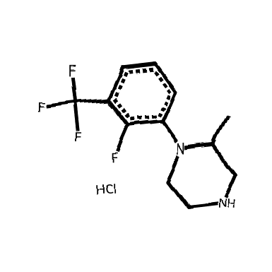 CC1CNCCN1c1cccc(C(F)(F)F)c1F.Cl